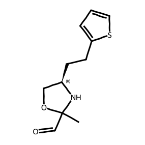 CC1(C=O)N[C@H](CCc2cccs2)CO1